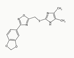 Cc1nc(SCc2nc(-c3ccc4c(c3)OCO4)no2)[nH]c1C